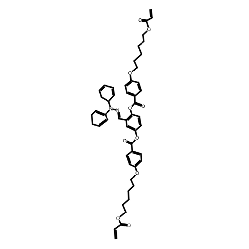 C=CC(=O)OCCCCCCOc1ccc(C(=O)Oc2ccc(OC(=O)c3ccc(OCCCCCCOC(=O)C=C)cc3)c(/C=N/N(C3=CCCC=C3)C3C=CC=CC3)c2)cc1